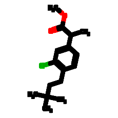 COC(=O)C(C)c1ccc(CCC(C)(C)C)c(Cl)c1